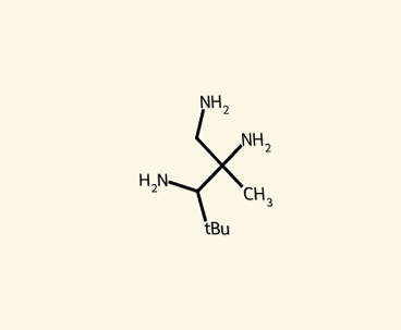 CC(C)(C)C(N)C(C)(N)CN